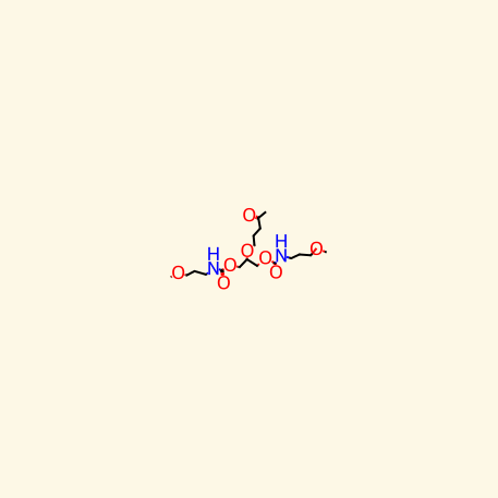 COCCCNC(=O)OCC(COC(=O)NCCCOC)OCCCC(C)=O